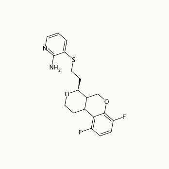 Nc1ncccc1SCC[C@@H]1OCCC2c3c(F)ccc(F)c3OCC21